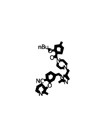 CCCCOc1cc(C)ccc1C(=O)N1CCN(Cc2cnc(C)n2Cc2ccc(C#N)c(Oc3cccnc3C)c2)CC1